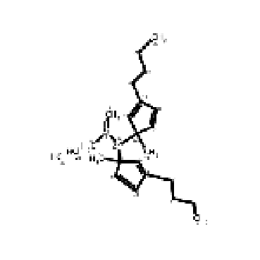 CCCCC1=C[C](C)([Zr]([SiH](C)C)[C]2(C)C=CC(CCCC)=C2)C=C1.Cl.Cl